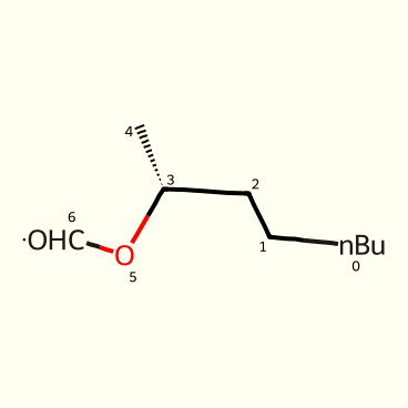 CCCCCC[C@@H](C)O[C]=O